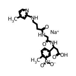 Cc1ccnc(NCCCC(=O)NCC(=O)NC(CC(=O)O)c2ccc(C)c([N+](=O)[O-])c2)c1.[Na+]